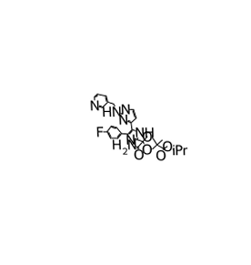 CC(C)OC(=O)C1(C)COC(C(N)=O)(c2nc(-c3ccc(F)cc3)c(-c3ccnc(NCc4cccnc4)n3)[nH]2)OC1